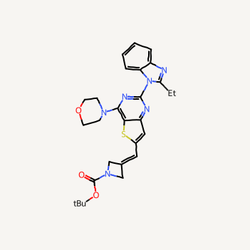 CCc1nc2ccccc2n1-c1nc(N2CCOCC2)c2sc(C=C3CN(C(=O)OC(C)(C)C)C3)cc2n1